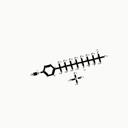 F[B-](F)(F)F.N#[N+]c1ccc(C(F)(F)C(F)(F)C(F)(F)C(F)(F)C(F)(F)C(F)(F)C(F)(F)C(F)(F)F)cc1